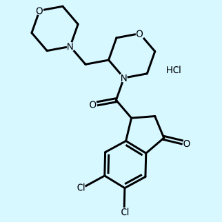 Cl.O=C1CC(C(=O)N2CCOCC2CN2CCOCC2)c2cc(Cl)c(Cl)cc21